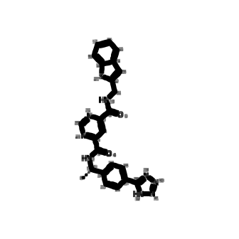 C[C@H](NC(=O)c1cc(C(=O)NCc2cc3ccccc3s2)ncn1)c1ccc(-c2nnn[nH]2)cc1